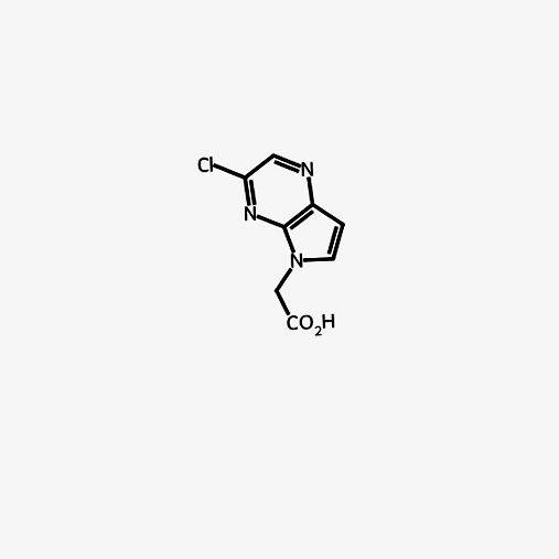 O=C(O)Cn1ccc2ncc(Cl)nc21